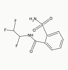 NS(=O)(=O)c1ccccc1C(=O)NC(F)C(F)F